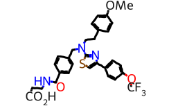 COc1ccc(CCN(Cc2ccc(C(=O)NCCC(=O)O)cc2)c2nc(-c3ccc(OC(F)(F)F)cc3)cs2)cc1